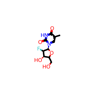 Cc1cn([C@H]2OC(CO)[C@@H](O)C2F)c(=O)[nH]c1=O